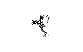 Nc1cc(C(=O)OCCCCO)cc([N+](=O)[O-])c1